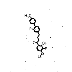 CCOc1ccc(C(=O)CCCc2ccc(-c3ccc(C)cc3)c(F)c2)c(O)c1F